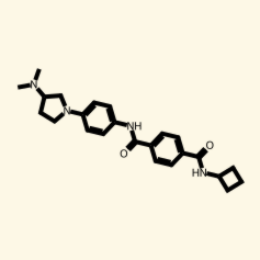 CN(C)C1CCN(c2ccc(NC(=O)c3ccc(C(=O)NC4CCC4)cc3)cc2)C1